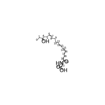 CCC(O)CC/C=C\CCCCCCC/C=C\CCCC(=O)NCC(=O)O